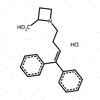 Cl.O=C(O)C1CCN1CCC=C(c1ccccc1)c1ccccc1